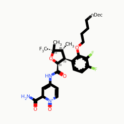 CCCCCCCCCCCCCCOc1c([C@H]2[C@@H](C(=O)NC3=CC(C(N)=O)[N+](=O)C=C3)O[C@](C)(C(F)(F)F)[C@@H]2C)ccc(F)c1F